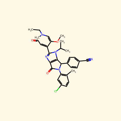 CCN(C)/C=C(OC)\C(=C/C=O)c1nc2c(n1C(C)C)C(c1ccc(C#N)cc1)N(c1cc(Cl)ccc1C)C2=O